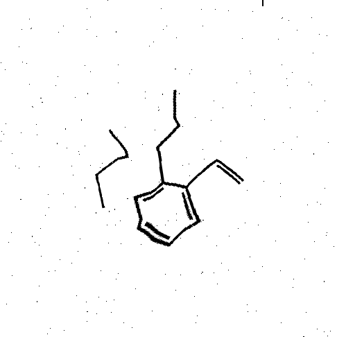 C=Cc1ccccc1CCC.CCCC